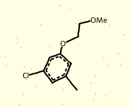 COCCOc1cc(C)cc(Cl)c1